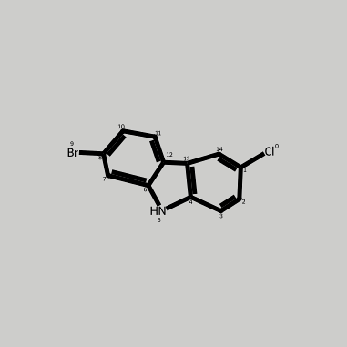 Clc1ccc2[nH]c3cc(Br)ccc3c2c1